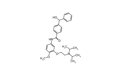 COc1ccc(NC(=O)c2ccc(C(O)c3ccccc3)cc2)cc1OCCN(C(C)C)C(C)C